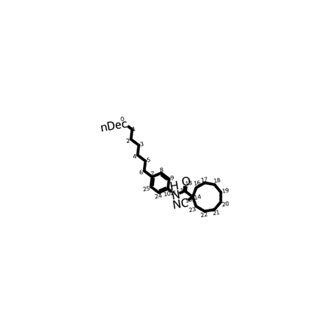 CCCCCCCCCCCCCCCCc1ccc(NC(=O)C2(C#N)CCCCCCCC2)cc1